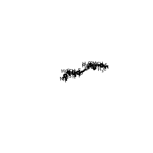 Cc1ncsc1-c1ccc([C@H](C)NC(=O)[C@@H]2CCCN2C(=O)C(NC(=O)COCCCCOc2c(F)cc(-c3ncc(N4C(=S)N(c5ccc(C#N)c(C(F)(F)F)c5F)C(=O)C4(C)C)cc3C(F)(F)F)cc2F)C(C)(C)C)cc1